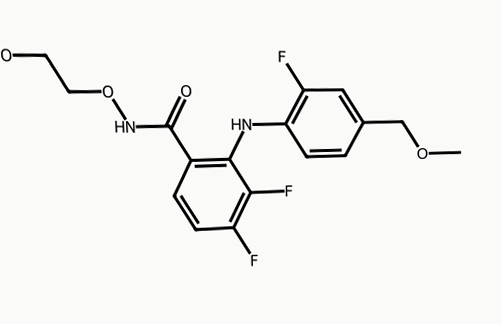 COCc1ccc(Nc2c(C(=O)NOCCO)ccc(F)c2F)c(F)c1